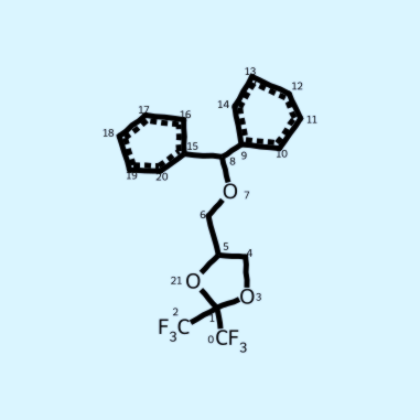 FC(F)(F)C1(C(F)(F)F)OCC(COC(c2ccccc2)c2ccccc2)O1